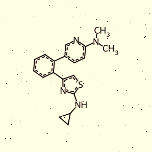 CN(C)c1ccc(-c2ccccc2-c2csc(NC3CC3)n2)cn1